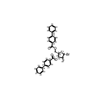 O=C(OC[C@H]1S[C@H](Br)[C@@H](F)[C@@H]1OC(=O)c1ccc(-c2ccccc2)cc1)c1ccc(-c2ccccc2)cc1